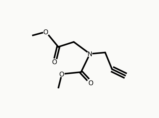 C#CCN(CC(=O)OC)C(=O)OC